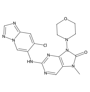 Cn1c(=O)n(N2CCOCC2)c2nc(Nc3cn4ncnc4cc3Cl)ncc21